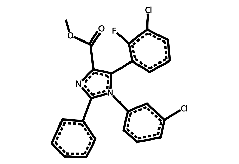 COC(=O)c1nc(-c2ccccc2)n(-c2cccc(Cl)c2)c1-c1cccc(Cl)c1F